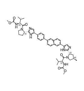 COC(=O)N[C@H](C(=O)N1CCC[C@H]1c1ncc(-c2ccc(-c3ccc4cc(-c5cnc([C@@H]6C[C@@H](C)CN6C(=O)[C@@H](NC(=O)OC)C(C)C)[nH]5)ccc4c3)cc2)[nH]1)C(C)C